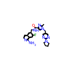 Cc1nc(C(=O)NCc2cc3ccnc(N)c3cc2F)cn1Cc1cnc(N2CCCC2)nc1